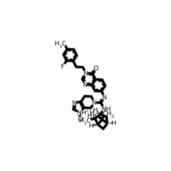 Cc1ccc(CCn2cnc3cc(N=C(N[C@H]4C[C@H]5C[C@H]([C@H]4C)C5(C)C)N4CCC5=C(C4)[NH+]([O-])C=N5)ccc3c2=O)c(F)c1